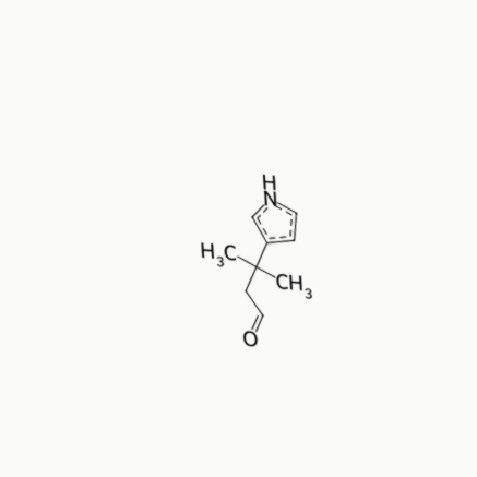 CC(C)(CC=O)c1cc[nH]c1